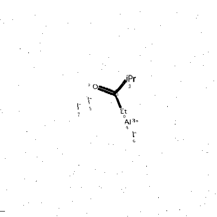 CCC(=O)C(C)C.[Al+3].[I-].[I-].[I-]